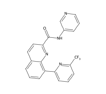 O=C(Nc1cccnc1)c1ccc2cccc(-c3cccc(C(F)(F)F)n3)c2n1